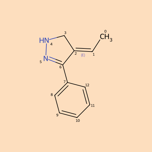 C/C=C1\CNN=C1c1ccccc1